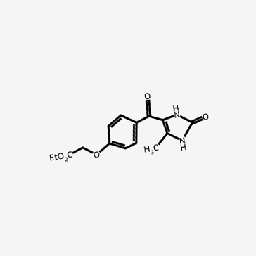 CCOC(=O)COc1ccc(C(=O)c2[nH]c(=O)[nH]c2C)cc1